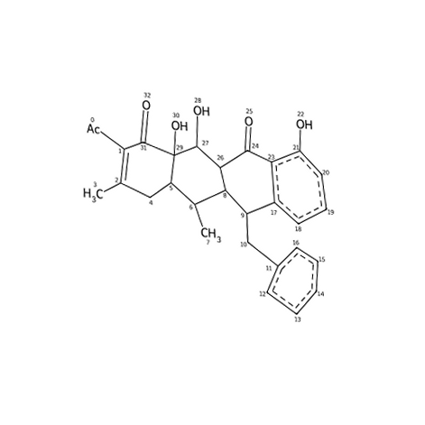 CC(=O)C1=C(C)CC2C(C)C3C(Cc4ccccc4)c4cccc(O)c4C(=O)C3C(O)C2(O)C1=O